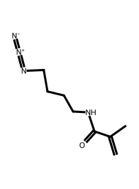 C=C(C)C(=O)NCCCCN=[N+]=[N-]